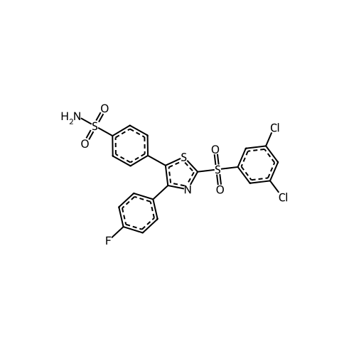 NS(=O)(=O)c1ccc(-c2sc(S(=O)(=O)c3cc(Cl)cc(Cl)c3)nc2-c2ccc(F)cc2)cc1